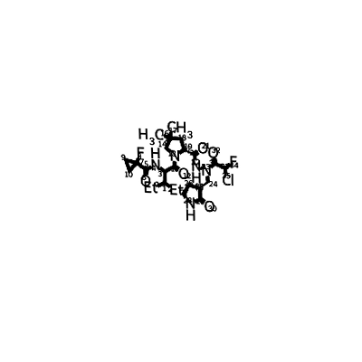 CCC(CC)C(NC(=O)C1(F)CC1)C(=O)N1CC(C)(C)C[C@H]1C(=O)NN(C[C@@H]1CCNC1=O)C(=O)C(F)Cl